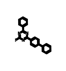 Ic1nc(-c2ccccc2)nc(-c2ccc(-c3ccccc3)cc2)n1